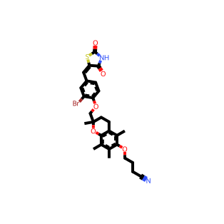 Cc1c(C)c2c(c(C)c1OCCCC#N)CCC(C)(COc1ccc(/C=C3/SC(=O)NC3=O)cc1Br)O2